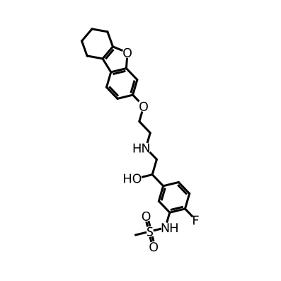 CS(=O)(=O)Nc1cc(C(O)CNCCOc2ccc3c4c(oc3c2)CCCC4)ccc1F